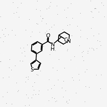 O=C(NC1CN2CCC1CC2)c1cccc(-c2ccsc2)c1